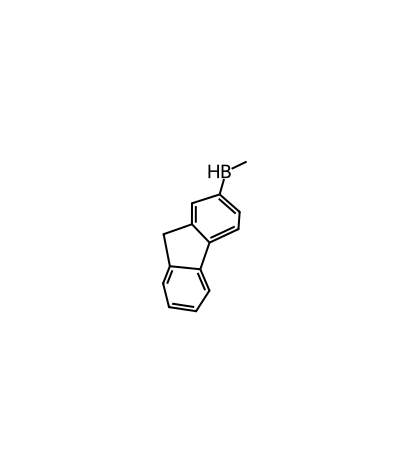 CBc1ccc2c(c1)Cc1ccccc1-2